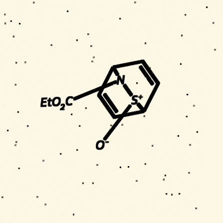 CCOC(=O)N1C2C=CC(C=C2)[S+]1[O-]